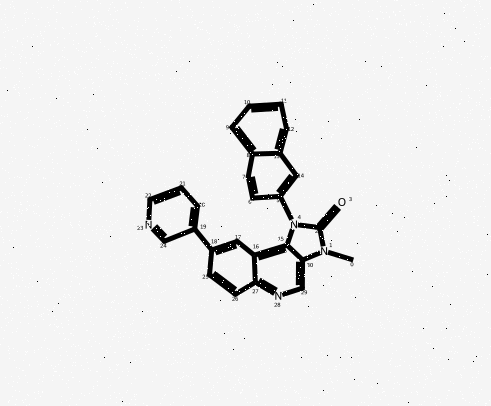 Cn1c(=O)n(-c2ccc3ccccc3c2)c2c3cc(-c4cccnc4)ccc3ncc21